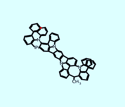 CC(C)c1cccc(-c2ccccc2)c1N(c1ccccc1)c1ccc2c3cc4c(cc3n3c5ccccc5c1c23)c1ccc2c3c5c(cccc5n4c13)C(C)c1cccc(-c3ccccc3)c1N2c1ccccc1